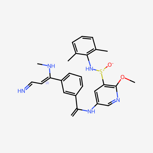 C=C(Nc1cnc(OC)c([S+]([O-])Nc2c(C)cccc2C)c1)c1cccc(/C(=C/C=N)NC)c1